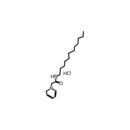 CCCCCCCCCCCCNC(=O)CN1C=CC=CC1.Cl